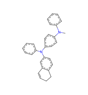 CN(c1ccccc1)c1ccc(N(c2ccccc2)c2ccc3c(c2)C=CCC3)cc1